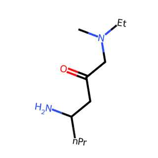 CCCC(N)CC(=O)CN(C)CC